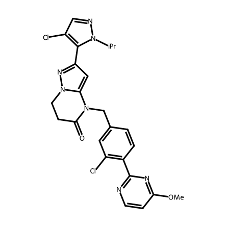 COc1ccnc(-c2ccc(CN3C(=O)CCn4nc(-c5c(Cl)cnn5C(C)C)cc43)cc2Cl)n1